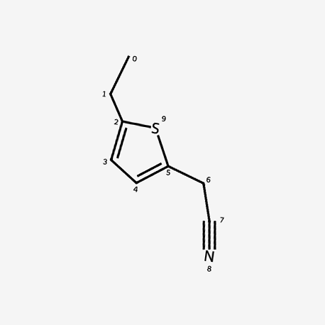 CCc1ccc(CC#N)s1